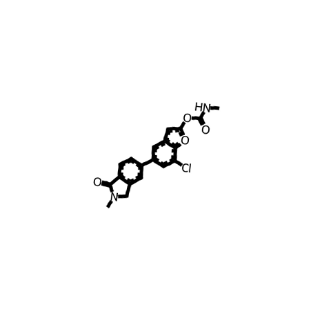 CNC(=O)Oc1cc2cc(-c3ccc4c(c3)CN(C)C4=O)cc(Cl)c2o1